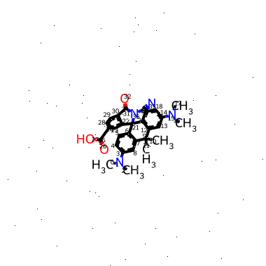 CN(C)c1ccc2c(c1)C(C)(C)c1cc(N(C)C)ccc1C21c2cc(C(=O)O)ccc2C(=O)N1C#N